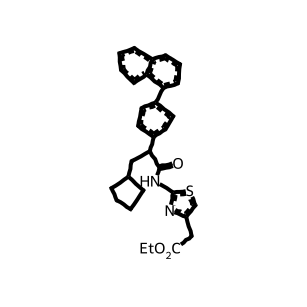 CCOC(=O)Cc1csc(NC(=O)C(CC2CCCC2)c2ccc(-c3cccc4ccccc34)cc2)n1